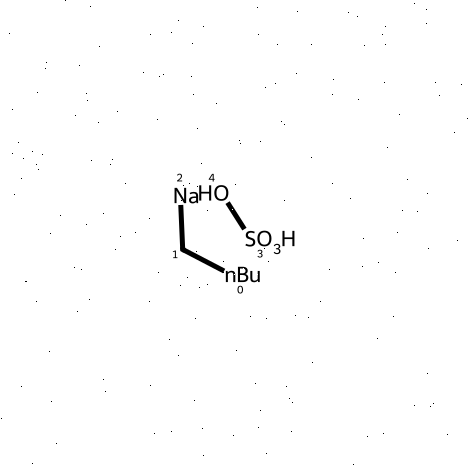 CCCC[CH2][Na].O=S(=O)(O)O